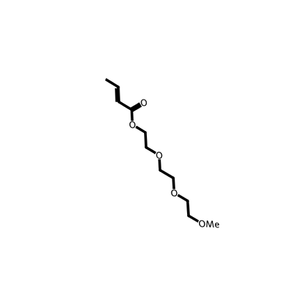 C/C=C/C(=O)OCCOCCOCCOC